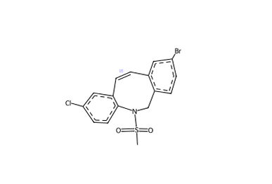 CS(=O)(=O)N1Cc2ccc(Br)cc2/C=C\c2cc(Cl)ccc21